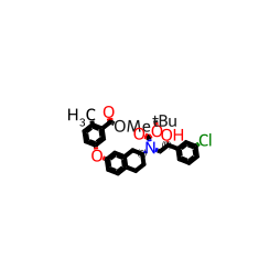 COC(=O)c1cc(Oc2ccc3c(c2)C[C@@H](N(C[C@H](O)c2cccc(Cl)c2)C(=O)OC(C)(C)C)CC3)ccc1C